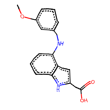 COc1cccc(Nc2cccc3[nH]c(C(=O)O)cc23)c1